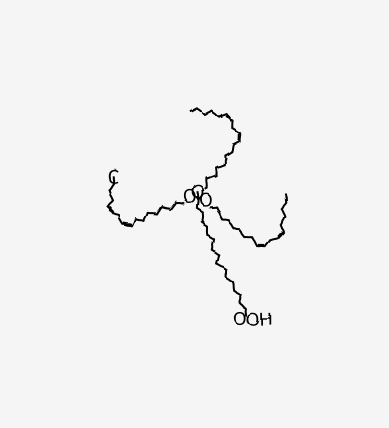 CCCCC/C=C\C/C=C\CCCCCCCCOC(CCCCCCCCCCCCCCCCC(=O)O)(OCCCCCCCC/C=C\C/C=C\CCCCC)OCCCCCCCC/C=C\C/C=C\CCCCC